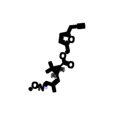 C#CCc1ccc(COC(=O)[C@@H]2[C@@H](C=C(C)/C=N/OC)C2(C)C)o1